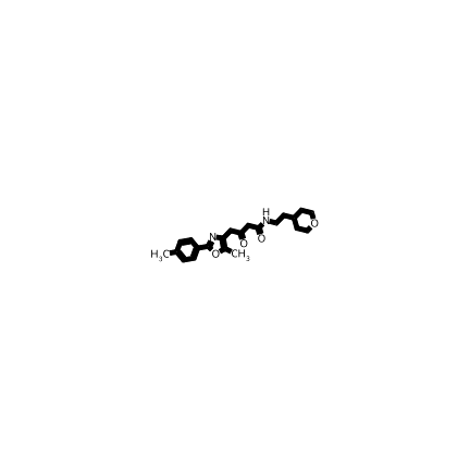 Cc1ccc(-c2nc(CC(=O)CC(=O)NCCC3CCOCC3)c(C)o2)cc1